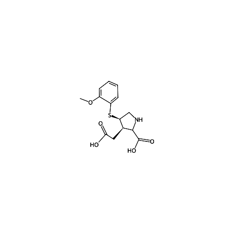 COc1ccccc1S[C@H]1CNC(C(=O)O)[C@H]1CC(=O)O